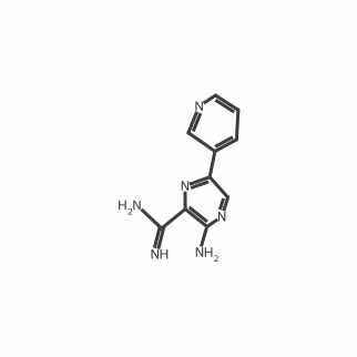 N=C(N)c1nc(-c2cccnc2)cnc1N